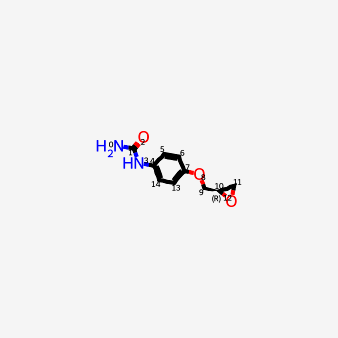 NC(=O)Nc1ccc(OC[C@H]2CO2)cc1